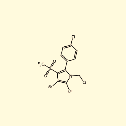 O=S(=O)(c1c(Br)c(Br)n(CCl)c1-c1ccc(Cl)cc1)C(F)(F)F